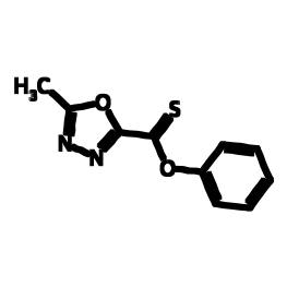 Cc1nnc(C(=S)Oc2ccccc2)o1